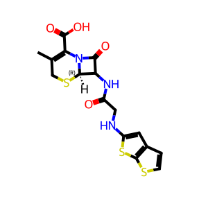 CC1=C(C(=O)O)N2C(=O)C(NC(=O)CNc3cc4ccsc4s3)[C@H]2SC1